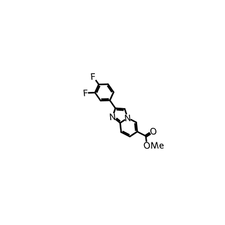 COC(=O)c1ccc2nc(-c3ccc(F)c(F)c3)cn2c1